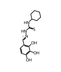 Oc1ccc(/C=N/NC(=S)NC2CCCCC2)c(O)c1O